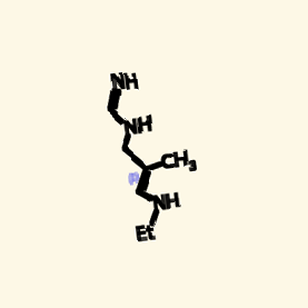 CCN/C=C(\C)CNC=N